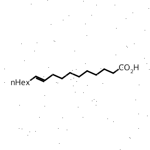 CCCCCC/C=C/CCCCCCCCC(=O)O